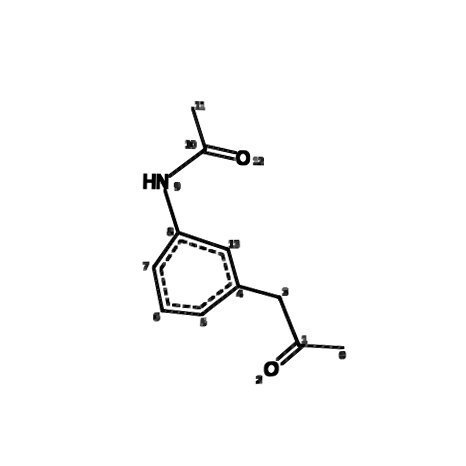 CC(=O)Cc1cccc(NC(C)=O)c1